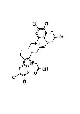 CCNc1cc(Cl)c(Cl)cc1N(/C=C/C=Cc1n(CC)c2cc(Cl)c(Cl)cc2[n+]1CC(=O)O)CC(=O)O